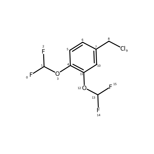 FC(F)Oc1ccc(CCl)cc1OC(F)F